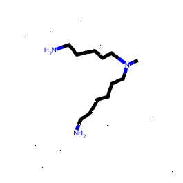 CN(CCCCCN)CCCCCCN